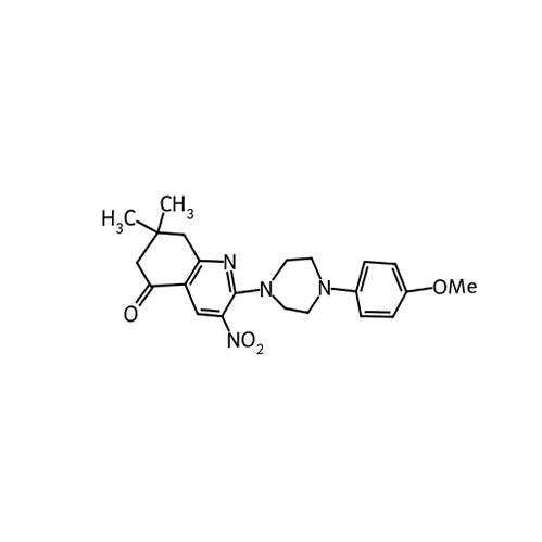 COc1ccc(N2CCN(c3nc4c(cc3[N+](=O)[O-])C(=O)CC(C)(C)C4)CC2)cc1